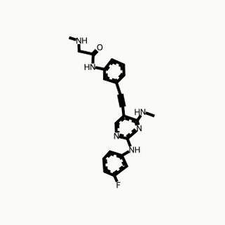 CNCC(=O)Nc1cccc(C#Cc2cnc(Nc3cccc(F)c3)nc2NC)c1